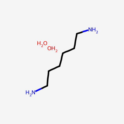 NCCCCCCN.O.O